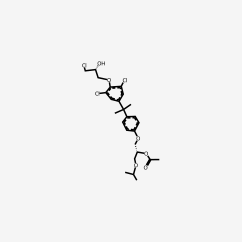 CC(=O)O[C@@H](COc1ccc(C(C)(C)c2cc(Cl)c(OC[C@@H](O)CCl)c(Cl)c2)cc1)COC(C)C